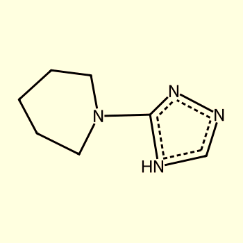 c1nnc(N2CCCCC2)[nH]1